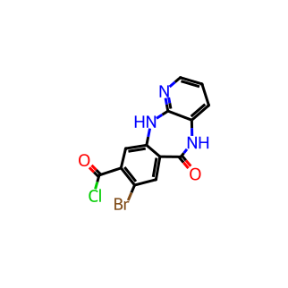 O=C(Cl)c1cc2c(cc1Br)C(=O)Nc1cccnc1N2